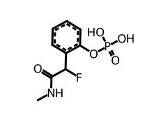 CNC(=O)C(F)c1ccccc1OP(=O)(O)O